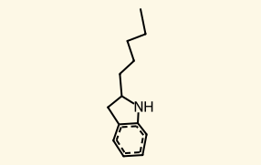 CCCCCC1Cc2ccccc2N1